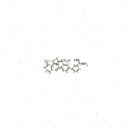 N=C(N)c1cccc(-c2ccc(C(=O)N3[C@@H](c4ccccc4Cl)CC[C@H]3C(=O)O)cc2)c1